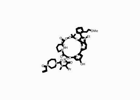 C=CC(=O)N1CCCN(C(=O)N(C)C(C(=O)N[C@H]2Cc3cc(O)cc(c3)-c3ccc4c(c3)c(c(-c3ccccc3CCOC)n4CC)CC(C)(C)COC(=O)[C@@H]3CCCN(N3)C2=O)C(C)C)CC1